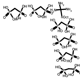 CCCCCCCCC(N)(N)N.O=P(O)(O)CP(=O)(O)O.O=P(O)(O)CP(=O)(O)O.O=P(O)(O)CP(=O)(O)O.O=P(O)(O)CP(=O)(O)O.O=P(O)(O)CP(=O)(O)O.O=P(O)(O)CP(=O)(O)O